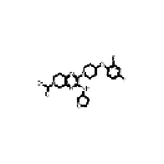 CCC(=O)N1CCc2nc(N3CCC(Oc4ccc(F)cc4F)CC3)c(NC3CCOC3)nc2C1